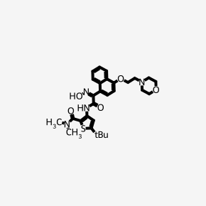 CN(C)C(=O)c1sc(C(C)(C)C)cc1NC(=O)C(=NO)c1ccc(OCCN2CCOCC2)c2ccccc12